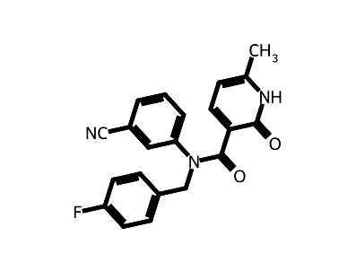 Cc1ccc(C(=O)N(Cc2ccc(F)cc2)c2cccc(C#N)c2)c(=O)[nH]1